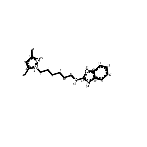 Cc1cc(C)n(CCCCCCSc2nc3ccccc3o2)n1